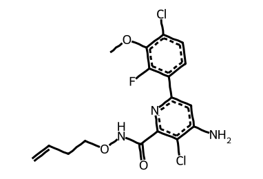 C=CCCONC(=O)c1nc(-c2ccc(Cl)c(OC)c2F)cc(N)c1Cl